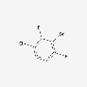 Fc1ccc(Cl)c(F)c1Br